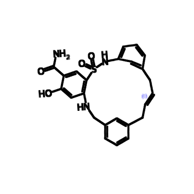 NC(=O)c1cc2c(cc1O)NCc1cccc(c1)C/C=C/Cc1cccc(c1)NS2(=O)=O